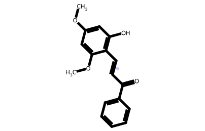 COc1cc(O)c(/C=C/C(=O)c2ccccc2)c(OC)c1